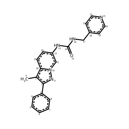 Cc1c(-c2ccccc2)nn2cc(NC(=O)NCc3ccncc3)ccc12